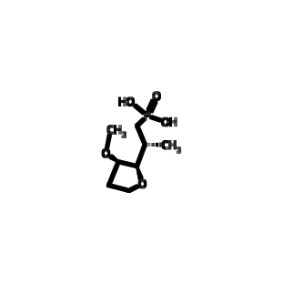 CO[C@@H]1CCO[C@@H]1[C@@H](C)CP(=O)(O)O